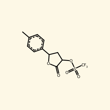 Cc1ccc(C2CC(OS(=O)(=O)C(F)(F)F)C(=O)O2)cc1